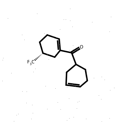 O=C(C1=CCC[C@@H](C(F)(F)F)C1)C1CC=CCC1